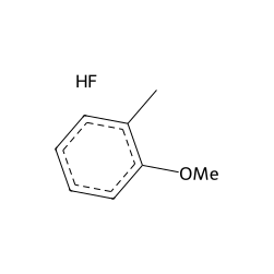 COc1ccccc1C.F